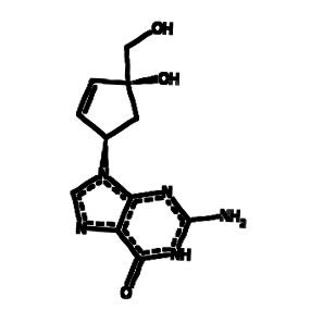 Nc1nc2c(ncn2[C@H]2C=C[C@](O)(CO)C2)c(=O)[nH]1